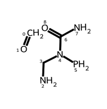 C=O.NCN(P)C(N)=O